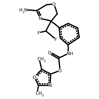 Cc1nc(OC(=O)Nc2cccc(C3(C(F)F)COCC(N)=N3)c2)c(C)o1